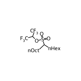 CCCCCCCCC(CCCCCC)S(=O)(=O)OC(C(F)(F)F)C(F)(F)F